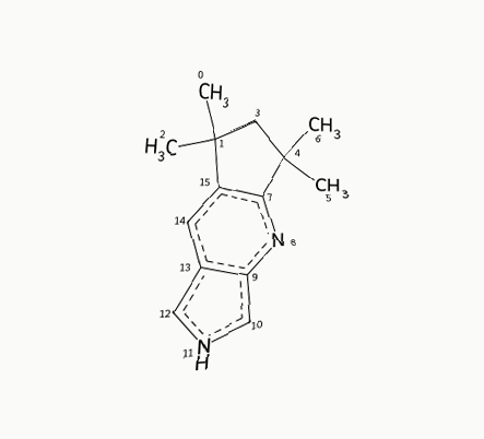 CC1(C)CC(C)(C)c2nc3c[nH]cc3cc21